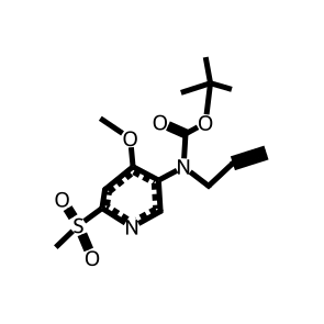 C#CCN(C(=O)OC(C)(C)C)c1cnc(S(C)(=O)=O)cc1OC